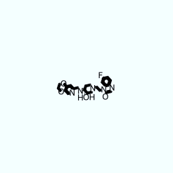 O=c1cnc2ccc(F)cc2n1CCN1CC[C@@H](NCc2cc3c(cn2)OCCO3)[C@@H](O)C1